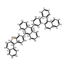 c1ccc(-c2cccc3ccccc23)c(-c2ccc(-c3c4ccccc4c(-c4ccc5c(c4)sc4ccc6ccccc6c45)c4ccccc34)cc2)c1